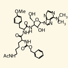 COc1ccc(CC(NC(=O)C(CCCCNC(C)=O)NC(=O)OCc2ccccc2)C(=O)NC2[C@@H](CO)O[C@@H](n3cnc4c(N(C)C)ncnc43)[C@H]2O)cc1